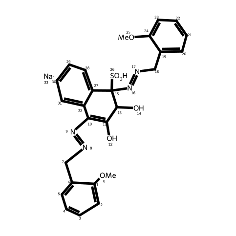 COc1ccccc1CN=NC1=C(O)C(O)C(N=NCc2ccccc2OC)(S(=O)(=O)O)c2ccccc21.[Na]